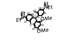 CCN(CC)c1ccc(C(c2ccc(N(CC)CC)cc2C)c2ccc(OC)cc2OC)c(C)c1